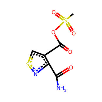 CS(=O)(=O)OC(=O)c1csnc1C(N)=O